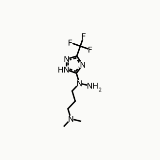 CN(C)CCCN(N)c1nc(C(F)(F)F)n[nH]1